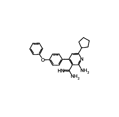 N=C(N)c1c(-c2ccc(Oc3ccccc3)cc2)cc(C2CCCC2)nc1N